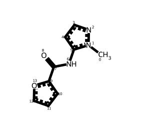 Cn1nccc1NC(=O)c1ccco1